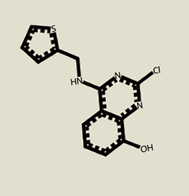 Oc1cccc2c(NCc3cccs3)nc(Cl)nc12